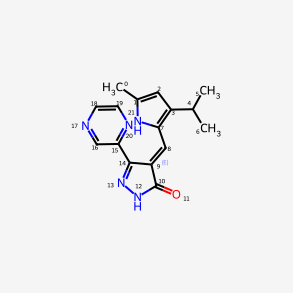 Cc1cc(C(C)C)c(/C=C2/C(=O)NN=C2c2cnccn2)[nH]1